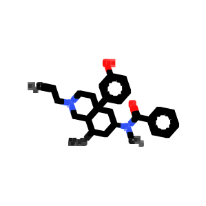 C=CCN1CCC2(c3cccc(O)c3)C[C@@H](N(C)C(=O)c3ccccc3)CC(OC)C2C1